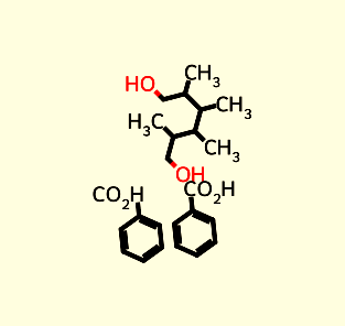 CC(CO)C(C)C(C)C(C)CO.O=C(O)c1ccccc1.O=C(O)c1ccccc1